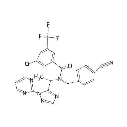 CC(c1ncnn1-c1ncccn1)N(Cc1ccc(C#N)cc1)C(=O)c1cc(Cl)cc(C(F)(F)F)c1